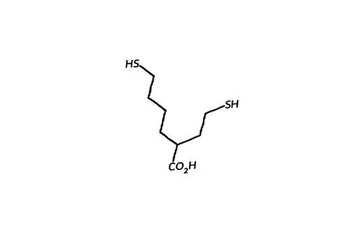 O=C(O)C(CCS)CCCCS